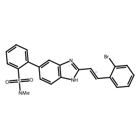 CNS(=O)(=O)c1ccccc1-c1ccc2[nH]c(/C=C/c3ccccc3Br)nc2c1